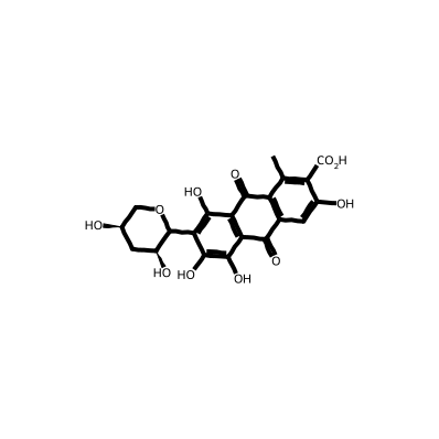 Cc1c(C(=O)O)c(O)cc2c1C(=O)c1c(O)c(C3OC[C@H](O)C[C@@H]3O)c(O)c(O)c1C2=O